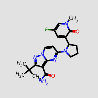 Cn1cc(F)cc(C2CCCN2c2ccn3nc(C(C)(C)C)c(C(N)=O)c3n2)c1=O